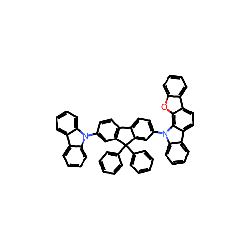 c1ccc(C2(c3ccccc3)c3cc(-n4c5ccccc5c5ccccc54)ccc3-c3ccc(-n4c5ccccc5c5ccc6c7ccccc7oc6c54)cc32)cc1